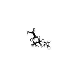 O=S(=O)(F)OC1(F)OC(=C(F)F)OC1(F)F